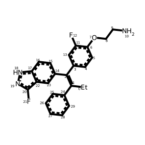 CCC(=C(c1ccc(OCCN)c(F)c1)c1ccc2[nH]nc(F)c2c1)c1ccccc1